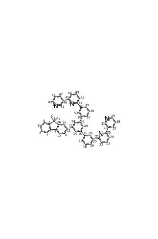 CC1(C)c2ccccc2-c2ccc(-c3cc(-c4cccc(-c5cccc(-c6cccnc6)n5)c4)cc(-c4cccc(-c5cccc(-c6cccnc6)n5)c4)c3)cc21